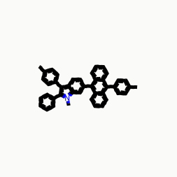 Cc1ccc(-c2c3ccccc3c(-c3ccc4c(-c5ccc(C)cc5)c(-c5ccccc5)n(C)c4c3)c3ccccc23)cc1